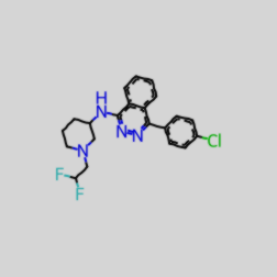 FC(F)CN1CCCC(Nc2nnc(-c3ccc(Cl)cc3)c3ccccc23)C1